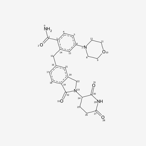 NC(=O)c1ccc(N2CCOCC2)cc1Cc1ccc2c(c1)CN(C1CCC(=O)NC1=O)C2=O